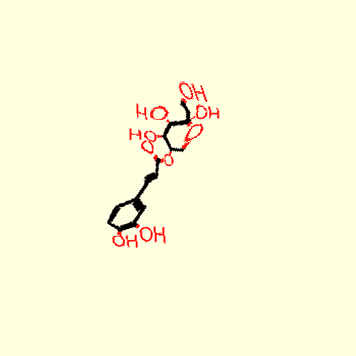 O=C(C=Cc1ccc(O)c(O)c1)O[C@@H]1CO[C@](O)(CO)[C@@H](O)[C@@H]1O